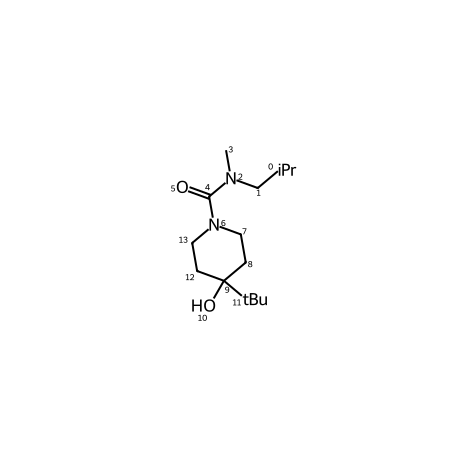 CC(C)CN(C)C(=O)N1CCC(O)(C(C)(C)C)CC1